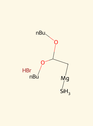 Br.CCCCOC([CH2][Mg][SiH3])OCCCC